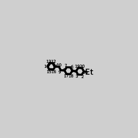 CCC1CCC(C2CCC(CCc3ccccc3)CC2)CC1